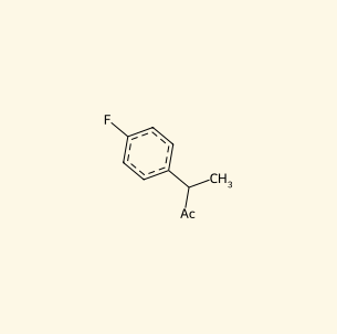 CC(=O)C(C)c1ccc(F)cc1